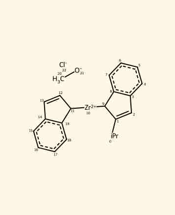 CC(C)C1=Cc2ccccc2[CH]1[Zr+2][CH]1C=Cc2ccccc21.C[O-].[Cl-]